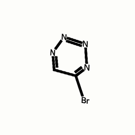 Brc1cnnnn1